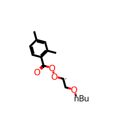 CCCCOC[CH]OOC(=O)c1ccc(C)cc1C